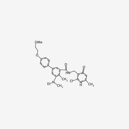 CCN(C)c1cc(-c2ccc(OCCOC)cc2)cc(C(=O)NCc2c(Cl)[nH]c(C)cc2=O)c1C